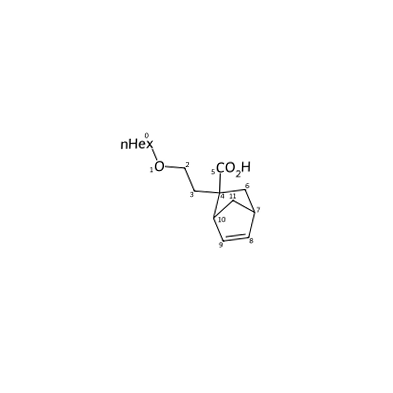 CCCCCCOCCC1(C(=O)O)CC2C=CC1C2